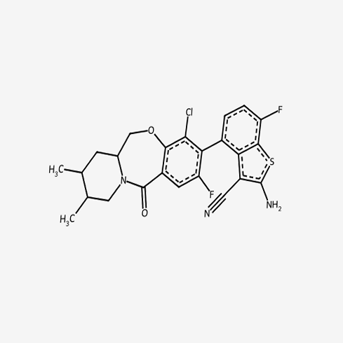 CC1CC2COc3c(cc(F)c(-c4ccc(F)c5sc(N)c(C#N)c45)c3Cl)C(=O)N2CC1C